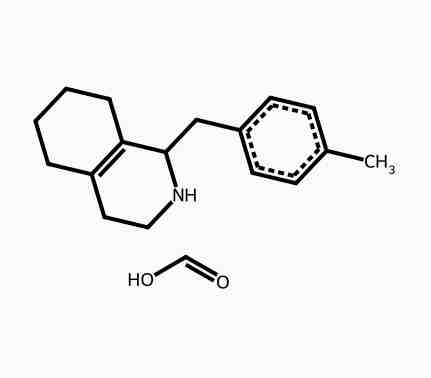 Cc1ccc(CC2NCCC3=C2CCCC3)cc1.O=CO